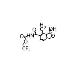 Cc1c(C(=O)NCC(=O)OCC(F)(F)F)ccc2c1B(O)OC2